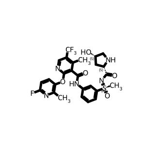 Cc1nc(F)ccc1Oc1ncc(C(F)(F)F)c(C)c1C(=O)Nc1cccc([S@@](C)(=O)=NC(=O)[C@@H]2C[C@H](O)CN2)c1